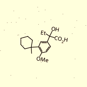 CCC(O)(C(=O)O)c1ccc(OC)c(C2(C)CCCCC2)c1